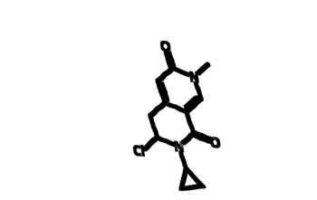 Cn1cc2c(cc1=O)CC(Cl)N(C1CC1)C2=O